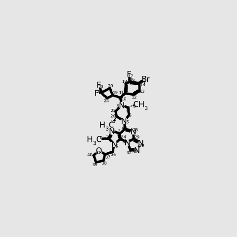 Cc1nc2c(N3C[C@@H](C)N(C(c4ccc(Br)c(F)c4)C4CC(F)(F)C4)C[C@@H]3C)nc3nncn3c2n1CC1CCCO1